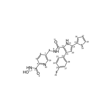 O=C(NO)c1ccc(CNC(=O)c2[nH]c(-c3cccs3)cc2-c2ccc(F)cc2)cn1